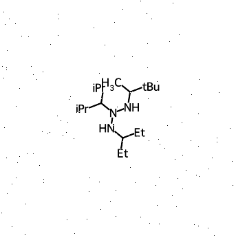 CCC(CC)NN(NC(C)C(C)(C)C)C(C(C)C)C(C)C